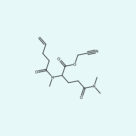 C=CCCC(=O)N(C)C(CCC(=O)N(C)C)C(=O)OCC#N